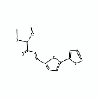 COC(OC)C(=O)C=Cc1ccc(-c2cccs2)s1